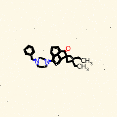 CCCCC1(CCCC)C(=O)c2cccc3c(N4CCCN(Cc5ccccc5)CC4)ccc1c23